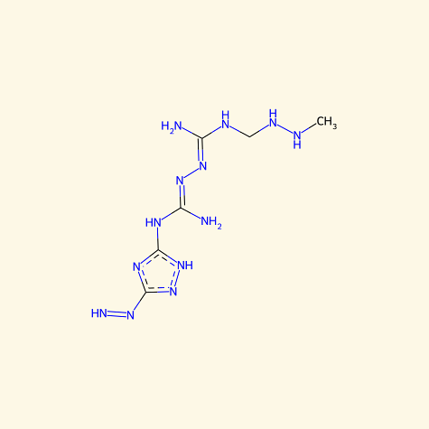 CNNCN/C(N)=N/N=C(\N)Nc1nc(N=N)n[nH]1